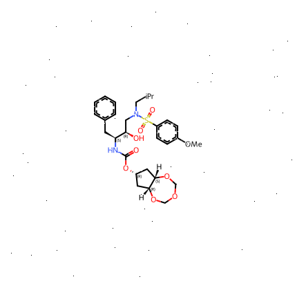 COc1ccc(S(=O)(=O)N(CC(C)C)C[C@@H](O)[C@H](Cc2ccccc2)NC(=O)O[C@@H]2C[C@@H]3OCOCO[C@@H]3C2)cc1